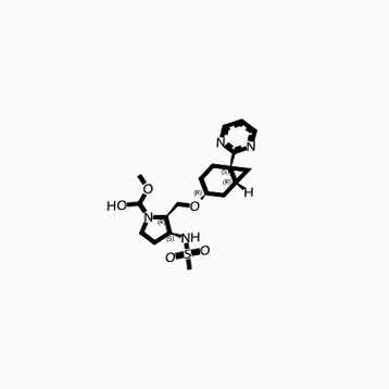 COC(O)N1CC[C@H](NS(C)(=O)=O)[C@@H]1CO[C@@H]1CC[C@]2(c3ncccn3)C[C@@H]2C1